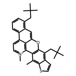 Cc1c2c(c(CC(C)(C)C)c3ccsc13)Oc1cc3c(CC(C)(C)C)cccc3c3cc[n+](C)c-2c13